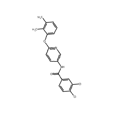 Cc1cccc(Oc2ccc(NC(=O)c3ccc(Cl)c(Cl)c3)cn2)c1C